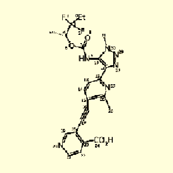 CCC(F)(F)[C@@H](C)OC(=O)Nc1c(-c2ccc(C#Cc3cnccc3C(=O)O)c(C)n2)nnn1C